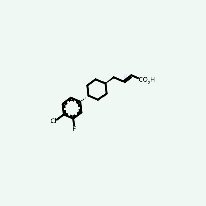 O=C(O)/C=C/C[C@H]1CC[C@H](c2ccc(Cl)c(F)c2)CC1